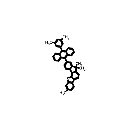 Cc1cc(C)cc(-c2c3ccccc3c(-c3ccc4c(c3)C(C)(C)c3ccc5c(sc6cc(C)ccc65)c3-4)c3ccccc23)c1